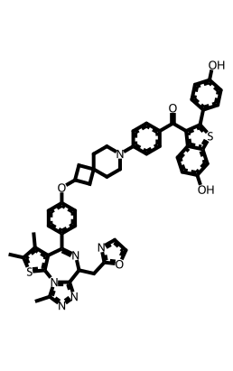 Cc1sc2c(c1C)C(c1ccc(OC3CC4(CCN(c5ccc(C(=O)c6c(-c7ccc(O)cc7)sc7cc(O)ccc67)cc5)CC4)C3)cc1)=NC(Cc1ncco1)c1nnc(C)n1-2